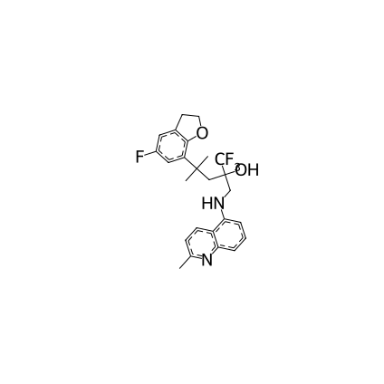 Cc1ccc2c(NCC(O)(CC(C)(C)c3cc(F)cc4c3OCC4)C(F)(F)F)cccc2n1